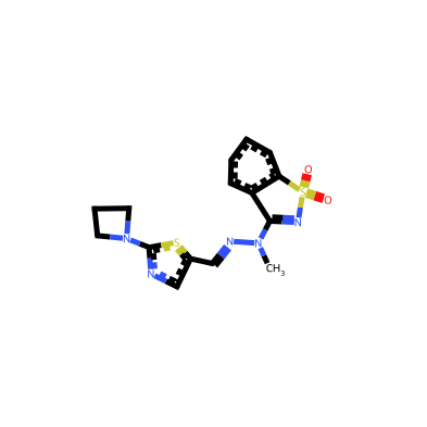 CN(/N=C/c1cnc(N2CCC2)s1)C1=NS(=O)(=O)c2ccccc21